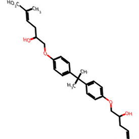 [CH]C(C)(c1ccc(OCC(O)CC=C(C)C(=O)O)cc1)c1ccc(OCC(O)CC=C(C)C(=O)O)cc1